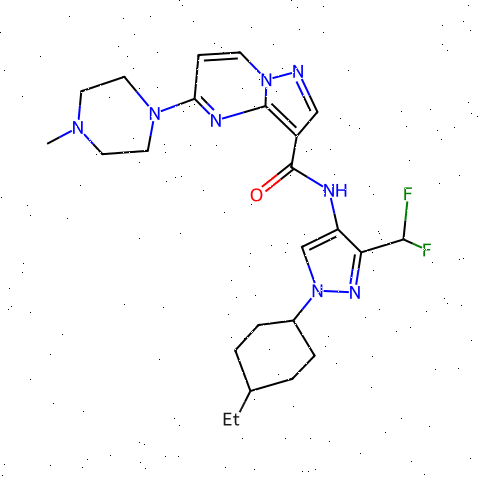 CCC1CCC(n2cc(NC(=O)c3cnn4ccc(N5CCN(C)CC5)nc34)c(C(F)F)n2)CC1